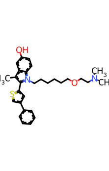 Cc1c(-c2cc(-c3ccccc3)cs2)n(CCCCCCOCCN(C)C)c2ccc(O)cc12